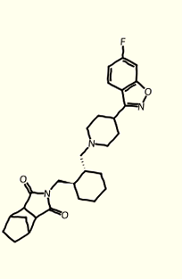 O=C1C2C3CCC(C3)C2C(=O)N1C[C@@H]1CCCC[C@H]1CN1CCC(c2noc3cc(F)ccc23)CC1